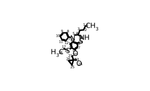 CCCCC1CN(c2ccccc2)c2cc(SCC)c(OCC3(C=O)CC3)cc2SN1